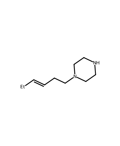 [CH2]CC=CCCN1CCNCC1